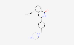 C#Cc1cccc2c(=O)[nH]c(-c3ccc(CN4CCNCC4)cc3)cc12